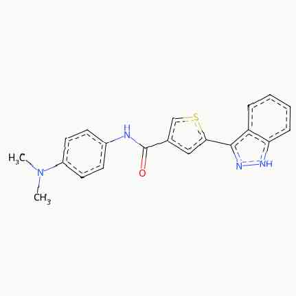 CN(C)c1ccc(NC(=O)c2csc(-c3n[nH]c4ccccc34)c2)cc1